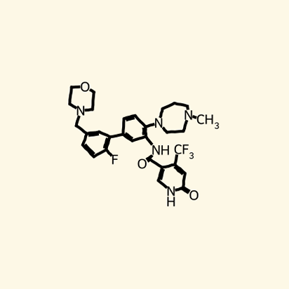 CN1CCCN(c2ccc(-c3cc(CN4CCOCC4)ccc3F)cc2NC(=O)c2c[nH]c(=O)cc2C(F)(F)F)CC1